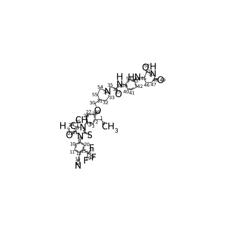 CCc1cc(N2C(=S)N(c3ccc(C#N)c(C(F)(F)F)c3)C(=O)C2(C)C)ccc1OCC1CCN(CC(=O)Nc2cccc(NC3CCC(=O)NC3=O)c2)CC1